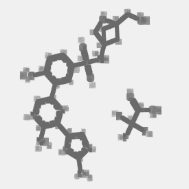 Cc1ncc(-c2nc(-c3cc(S(=O)(=O)NC45COC(CO)(C4)C5)ccc3C)cnc2N)s1.O=C(O)C(F)(F)F